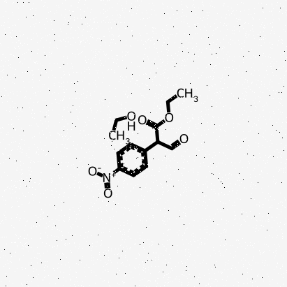 CCO.CCOC(=O)C(C=O)c1ccc([N+](=O)[O-])cc1